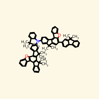 CC(C)(C)c1ccccc1N(c1ccc2c(c1)C(C)(C)c1cc(-c3ccc4c(c3)C(C)(C)c3ccccc3-4)c3oc4ccccc4c3c1-2)c1ccc2c(c1)C(C)(C)c1c3c(c4c(oc5ccccc54)c1-2)-c1ccccc1C3(C)C